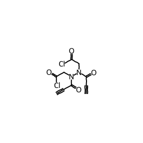 C#CC(=O)N(CC(=O)Cl)N(CC(=O)Cl)C(=O)C#C